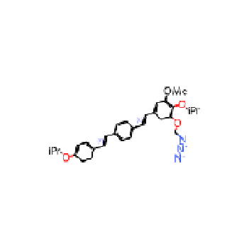 COC1=C(OC(C)C)C(OCN=[N+]=[N-])CC(/C=C/c2ccc(/C=C/C3=CC=C(OC(C)C)CC3)cc2)=C1